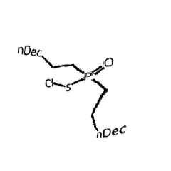 CCCCCCCCCCCCP(=O)(CCCCCCCCCCCC)SCl